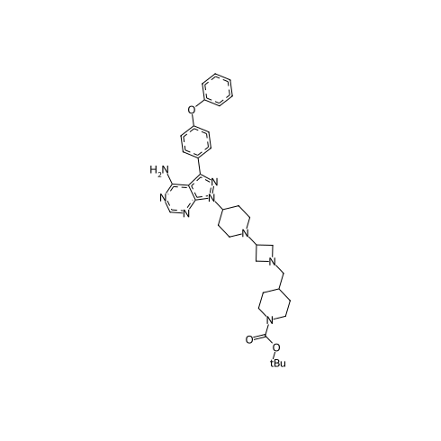 CC(C)(C)OC(=O)N1CCC(CN2CC(N3CCC(n4nc(-c5ccc(Oc6ccccc6)cc5)c5c(N)ncnc54)CC3)C2)CC1